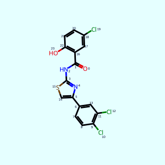 O=C(Nc1nc(-c2ccc(Cl)c(Cl)c2)cs1)c1cc(Cl)ccc1O